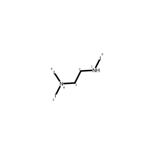 INCCN(I)I